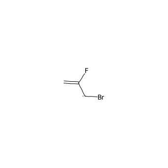 C=C(F)[CH]Br